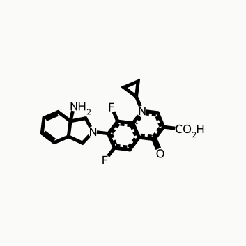 NC12C=CC=CC1CN(c1c(F)cc3c(=O)c(C(=O)O)cn(C4CC4)c3c1F)C2